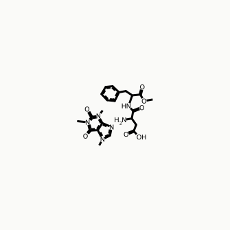 COC(=O)C(Cc1ccccc1)NC(=O)C(N)CC(=O)O.Cn1c(=O)c2c(ncn2C)n(C)c1=O